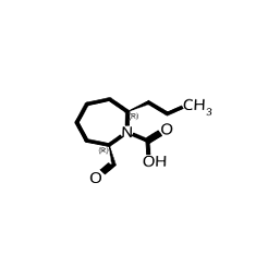 CCC[C@@H]1CCCC[C@H](C=O)N1C(=O)O